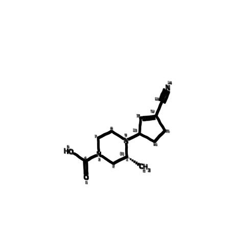 C[C@@H]1CN(C(=O)O)CCN1C1C=C(C#N)CC1